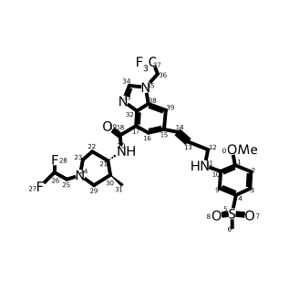 COc1ccc(S(C)(=O)=O)cc1NCC#Cc1cc(C(=O)N[C@H]2CCN(CC(F)F)C[C@@H]2C)c2ncn(CC(F)(F)F)c2c1